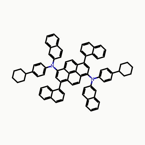 c1ccc2cc(N(c3ccc(C4CCCCC4)cc3)c3cc(-c4cccc5ccccc45)c4ccc5c(N(c6ccc(C7CCCCC7)cc6)c6ccc7ccccc7c6)cc(-c6cccc7ccccc67)c6ccc3c4c65)ccc2c1